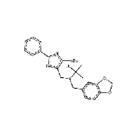 CCCCc1nc(-c2ccccc2)[nH]c1CN(Cc1ccc2c(c1)OCO2)C(C)(C)CC